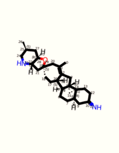 CC1=C2C[C@H]3[C@@H](CC[C@@H]4CC(=N)CC[C@@]43C)[C@@H]2CC[C@]2(C1)C[C@@H]1NC[C@@H](C)C[C@H]1O2